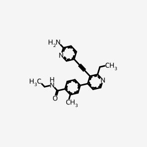 CCNC(=O)c1ccc(-c2ccnc(CC)c2C#Cc2ccc(N)nc2)cc1C